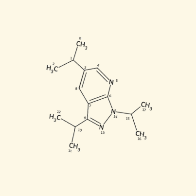 CC(C)c1cnc2c(c1)c(C(C)C)nn2C(C)C